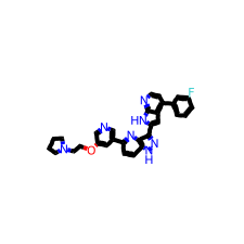 Fc1cccc(-c2ccnc3[nH]c(-c4n[nH]c5ccc(-c6cncc(OCCN7CCCC7)c6)nc45)cc23)c1